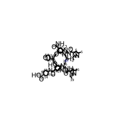 CCn1nc(C)cc1C(=O)Nc1nc2cc(C(N)=O)cc3c2n1C/C=C/Cn1c(NC(=O)c2cc(C)nn2CC)nc2cc(C(=O)N[C@H]4CC[C@H](C(=O)O)CC4)cc(c21)OCC(N1CCOCC1)CO3